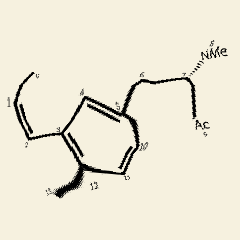 C/C=C\c1cc(C[C@H](NC)C(C)=O)ccc1C